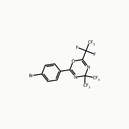 FC(F)(F)C(F)(F)C1=NC(C(F)(F)F)(C(F)(F)F)N=C(c2ccc(Br)cc2)O1